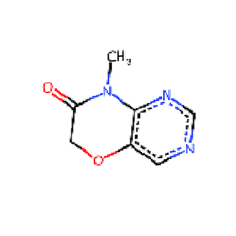 CN1C(=O)COc2cncnc21